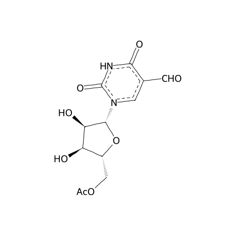 CC(=O)OC[C@H]1O[C@@H](n2cc(C=O)c(=O)[nH]c2=O)[C@H](O)[C@@H]1O